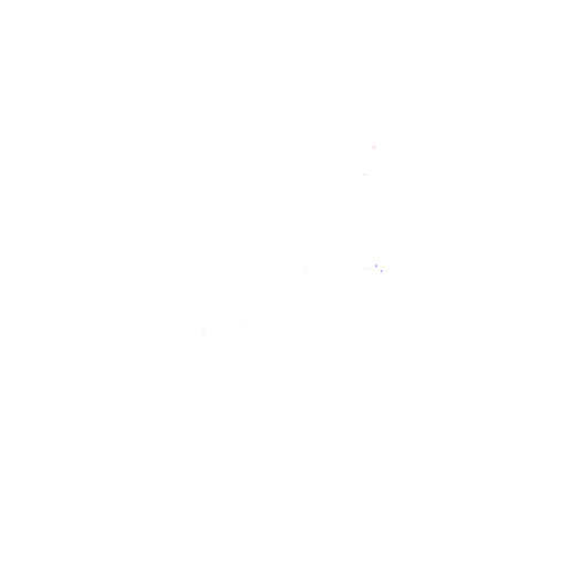 C#Cc1cccc(-c2cc(=O)c3cc(C)cc(C(C)Nc4ccccc4C(=O)O)c3o2)c1